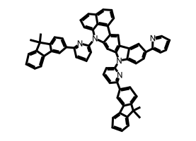 CC1(C)c2ccccc2-c2cc(-c3cccc(N4c5cc6c(cc5-c5cccc7cccc4c57)c4cc(-c5ccccn5)ccc4n6-c4cccc(-c5ccc6c(c5)-c5ccccc5C6(C)C)n4)n3)ccc21